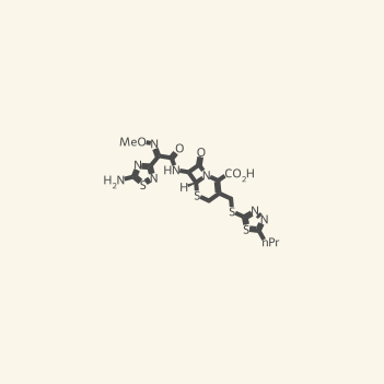 CCCc1nnc(SCC2=C(C(=O)O)N3C(=O)C(NC(=O)/C(=N/OC)c4nsc(N)n4)[C@H]3SC2)s1